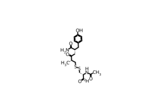 [2H]C(=O)[C@H](CSSC[C@H](C)C(=O)C[C@@H](Cc1ccc(O)cc1)C(N)=O)NC(C)=O